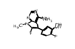 Cn1c(F)c(-c2ccc(F)c(O)c2)c2c(N)ncnc21